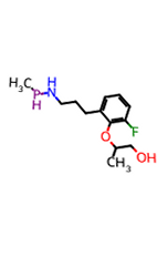 CPNCCCc1cccc(F)c1OC(C)CO